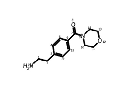 NCCc1ccc(C(=O)N2CCOCC2)cc1